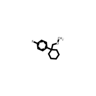 [CH2]OCC1(c2ccc(F)cc2)CCCCC1